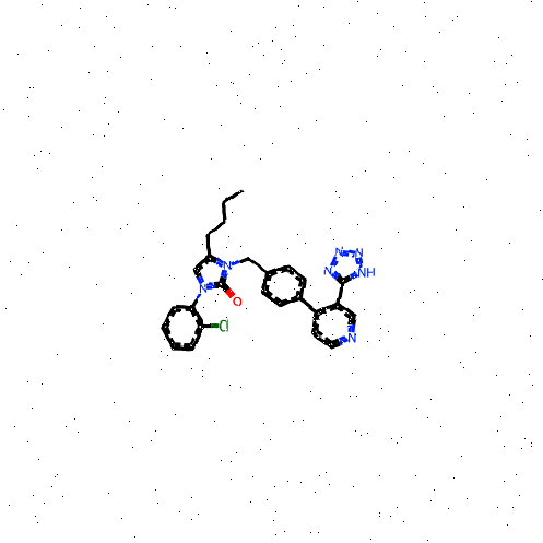 CCCCc1cn(-c2ccccc2Cl)c(=O)n1Cc1ccc(-c2ccncc2-c2nnn[nH]2)cc1